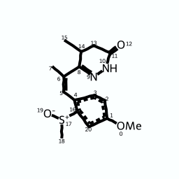 COc1ccc(C=C(C)C2=NNC(=O)CC2C)c([S+](C)[O-])c1